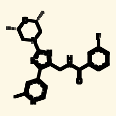 Cc1cc(-c2sc(N3C[C@@H](C)O[C@@H](C)C3)nc2CNC(=O)c2cccc(F)c2)ccn1